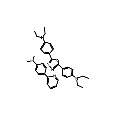 CCN(CC)c1ccc(-c2nnc(-c3ccc(N(CC)CC)cc3)s2)cc1.CN(C)c1ccc(-c2ccccn2)cc1